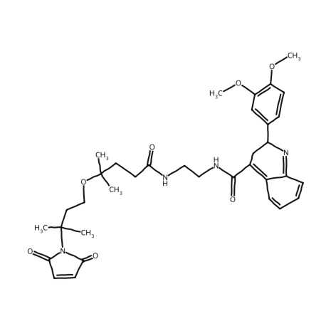 COc1ccc(C2CC(C(=O)NCCNC(=O)CCC(C)(C)OCCC(C)(C)N3C(=O)C=CC3=O)=c3ccccc3=N2)cc1OC